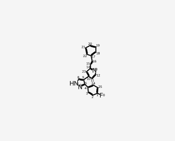 Fc1ccc(-c2n[nH]cc2-c2ccnc(C=Cc3ccccc3)c2)cc1